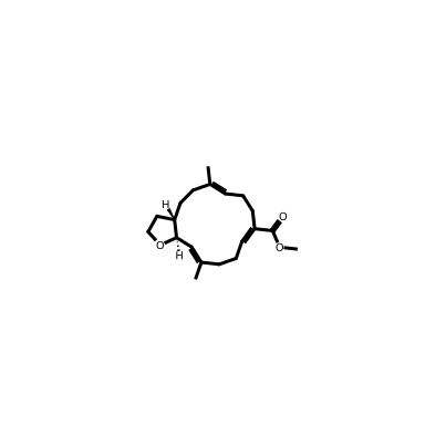 COC(=O)/C1=C\CC/C(C)=C/[C@H]2OCC[C@@H]2CC/C(C)=C/CC1